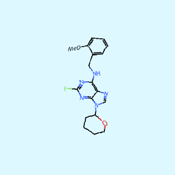 COc1ccccc1CNc1nc(F)nc2c1ncn2C1CCCCO1